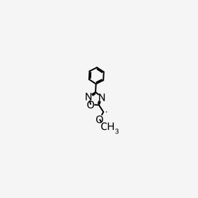 CO[CH]c1nc(-c2ccccc2)no1